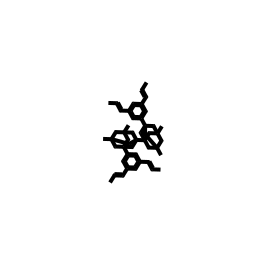 CC=Cc1cc(C=CC)cc(C23CC4(C)CC(C)(C2)CC(C25CC6(C)CC(C)(CC(c7cc(C=CC)cc(C=CC)c7)(C6)C2)C5)(C4)C3)c1